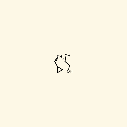 C=CC1CC1.OCCO